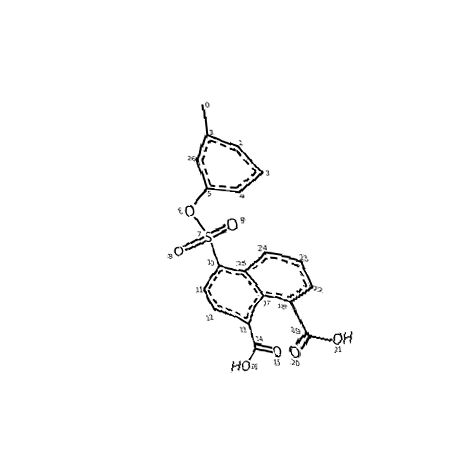 Cc1cccc(OS(=O)(=O)c2ccc(C(=O)O)c3c(C(=O)O)cccc23)c1